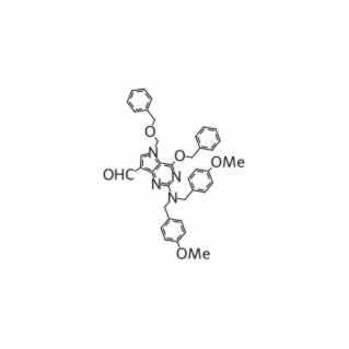 COc1ccc(CN(Cc2ccc(OC)cc2)c2nc(OCc3ccccc3)c3c(n2)c(C=O)cn3COCc2ccccc2)cc1